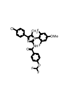 COc1cc(F)c(-n2c(NC(=O)c3ccc(OC(F)F)cc3)nc(-c3ccc(Cl)cc3)c2C)c(F)c1